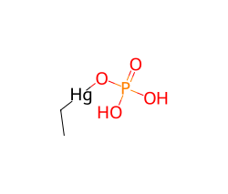 C[CH2][Hg][O]P(=O)(O)O